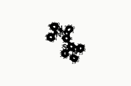 C1=CC2c3cc(-c4cc5c6ccccc6n(-c6ccccc6)c5c5c4sc4ccccc45)ccc3N(c3nc(-c4ccccc4)c4ccccc4n3)C2C=C1